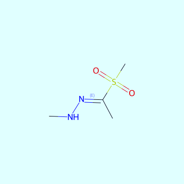 CN/N=C(\C)S(C)(=O)=O